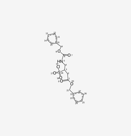 O=C(CC(CNC(=O)OCc1ccccc1)S(=O)(=O)Cl)OCc1ccccc1